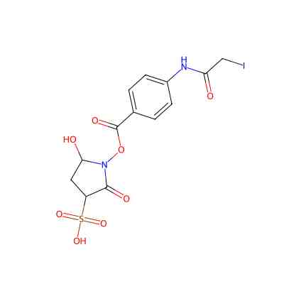 O=C(CI)Nc1ccc(C(=O)ON2C(=O)C(S(=O)(=O)O)CC2O)cc1